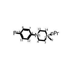 CCC[N+]1(C)CCN(c2ccc(F)cc2)CC1